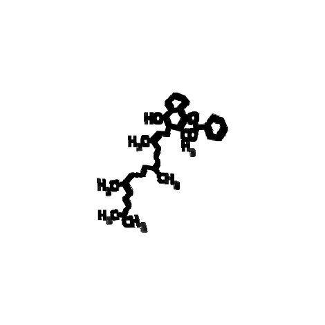 CC(=CCc1c(C)c(OC(=O)c2ccccc2)c2ccccc2c1O)CCCC(C)CCCC(C)CCCC(C)C